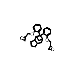 c1ccc(C2(c3ccccc3OCC3CO3)C3CC4CCCC4C2C3)c(OCC2CO2)c1